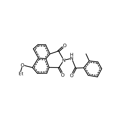 CCOc1ccc2c3c(cccc13)C(=O)N(NC(=O)c1ccccc1C)C2=O